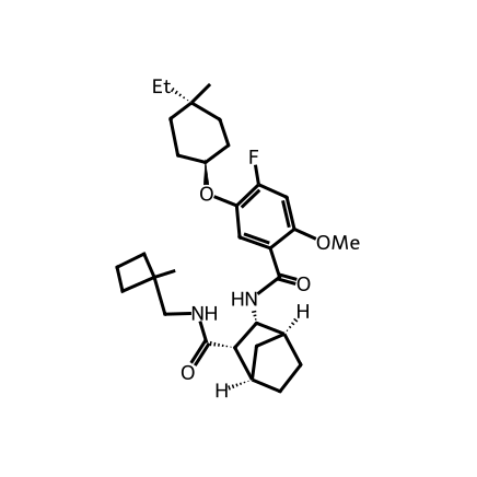 CC[C@]1(C)CC[C@@H](Oc2cc(C(=O)N[C@@H]3[C@H]4CC[C@H](C4)[C@@H]3C(=O)NCC3(C)CCC3)c(OC)cc2F)CC1